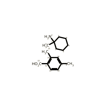 CC1(N)CCCCC1.Cc1ccc(C(=O)O)c(C)c1